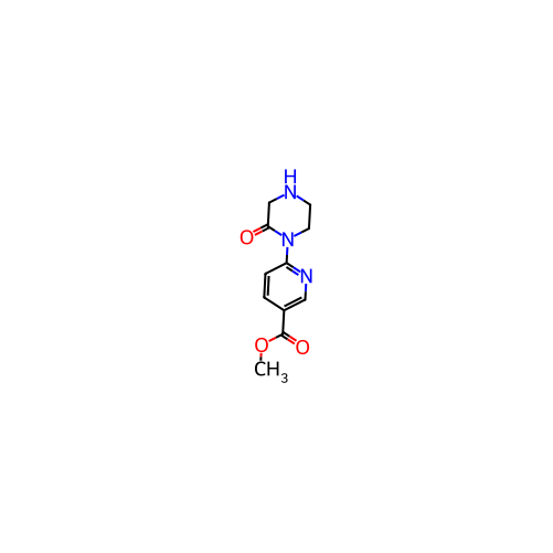 COC(=O)c1ccc(N2CCNCC2=O)nc1